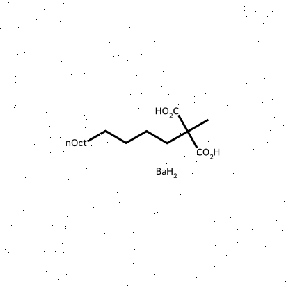 CCCCCCCCCCCCC(C)(C(=O)O)C(=O)O.[BaH2]